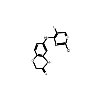 O=C1COc2ccc(Nc3nc(Cl)ncc3F)cc2N1